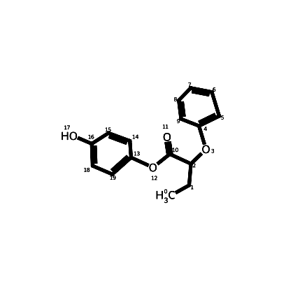 CCC(Oc1ccccc1)C(=O)Oc1ccc(O)cc1